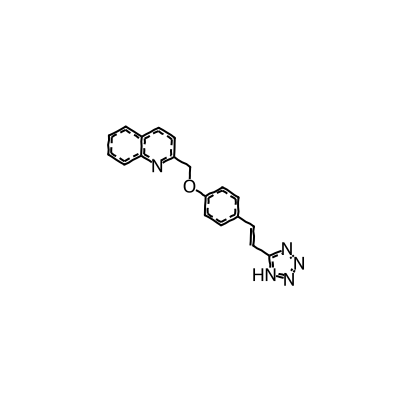 C(=C\c1nnn[nH]1)/c1ccc(OCc2ccc3ccccc3n2)cc1